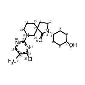 O=C1N([C@H]2CC[C@H](O)CC2)CCC12CCCN(c1ncc(C(F)(F)F)c(Cl)n1)C2